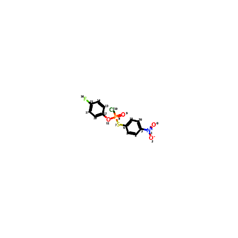 O=[N+]([O-])c1ccc(SP(=O)(Cl)Oc2ccc(F)cc2)cc1